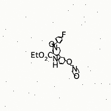 CCOC(=O)C1=CN(C(=O)c2ccc(F)cc2)CCc2c1[nH]c1ccc(OCCN3CCOCC3)cc21